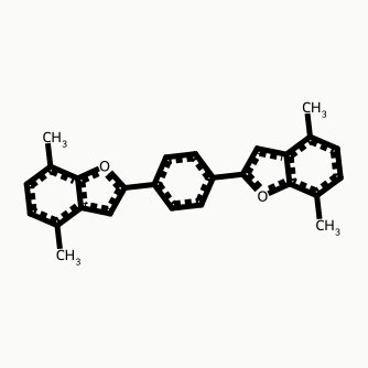 Cc1ccc(C)c2oc(-c3ccc(-c4cc5c(C)ccc(C)c5o4)cc3)cc12